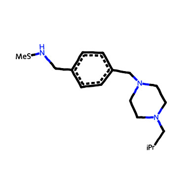 CSNCc1ccc(CN2CCN(CC(C)C)CC2)cc1